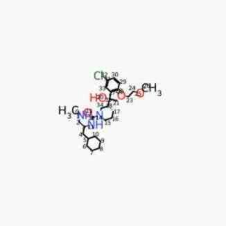 CNC[C@H](CC1CCCCC1)NC(=O)N1CCC[C@@H]([C@](O)(COCCOC)c2cccc(Cl)c2)C1